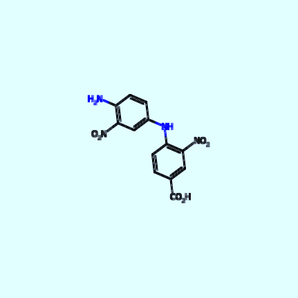 Nc1ccc(Nc2ccc(C(=O)O)cc2[N+](=O)[O-])cc1[N+](=O)[O-]